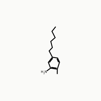 CCCCCCc1ccc(C)c(N)c1